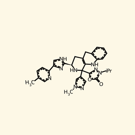 Cc1ccc(-c2c[nH]c([C@H]3CC4=C(Nc5ccccc5C4)C(c4cnn(C)c4)(c4nn(C(C)C)c(=O)o4)N3)n2)nc1